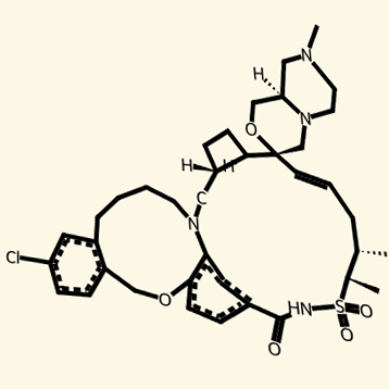 C[C@@H]1[C@@H](C)C/C=C/[C@]2(CN3CCN(C)C[C@@H]3CO2)[C@@H]2CC[C@H]2CN2CCCCc3cc(Cl)ccc3COc3ccc(cc32)C(=O)NS1(=O)=O